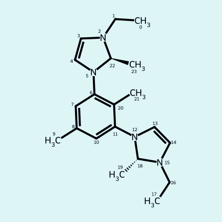 CCN1C=CN(c2cc(C)cc(N3C=CN(CC)[C@@H]3C)c2C)[C@@H]1C